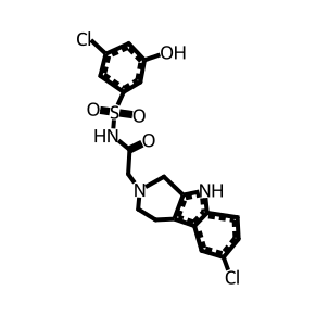 O=C(CN1CCc2c([nH]c3ccc(Cl)cc23)C1)NS(=O)(=O)c1cc(O)cc(Cl)c1